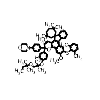 CCC(C)(C)OCC(C)(C)Oc1ccc(C2(c3ccc(N4CCOCC4)cc3)C=Cc3c4c(c5cc(Sc6c(C)cccc6C)c(OC)cc5c3O2)-c2ccccc2C42CC(C)(C)CCC(C)(C)C2)cc1